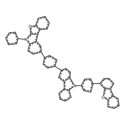 c1ccc(-n2c3ccc(-c4ccc(-c5ccc6c(c5)c5ccccc5n6-c5ccc(-c6cccc7c6oc6ccccc67)cc5)cc4)cc3c3c4ccccc4oc32)cc1